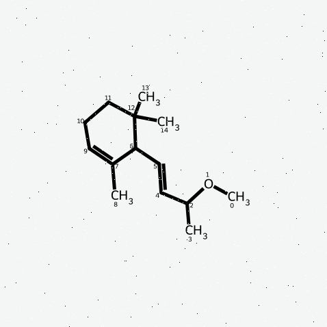 COC(C)/C=C/C1C(C)=CCCC1(C)C